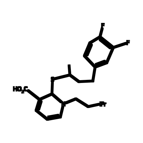 CC(C)CCN1C=CC=C(C(=O)O)C1SC(C)CCc1ccc(F)c(F)c1